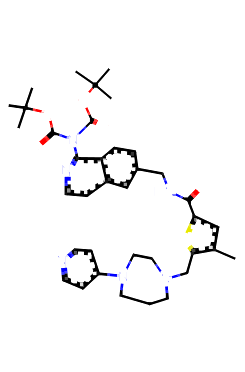 Cc1cc(C(=O)NCc2ccc3c(N(C(=O)OC(C)(C)C)C(=O)OC(C)(C)C)nccc3c2)sc1CN1CCCN(c2ccncc2)CC1